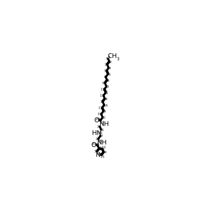 CCC=CCC=CCC=CCC=CCC=CCC=CCCC(=O)NCCNCCNC(=O)c1cccnc1